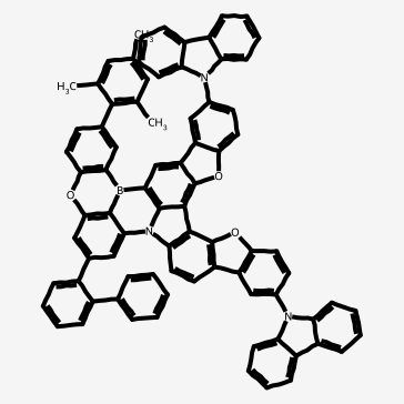 Cc1cc(C)c(-c2ccc3c(c2)B2c4c(cc(-c5ccccc5-c5ccccc5)cc4-n4c5ccc6c7cc(-n8c9ccccc9c9ccccc98)ccc7oc6c5c5c6oc7ccc(-n8c9ccccc9c9ccccc98)cc7c6cc2c54)O3)c(C)c1